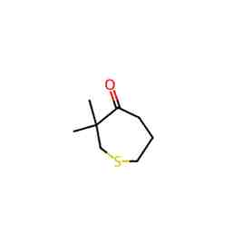 CC1(C)CSCCCC1=O